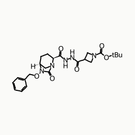 CC(C)(C)OC(=O)N1CC(C(=O)NNC(=O)[C@@H]2CC[C@H]3CN2C(=O)N3OCc2ccccc2)C1